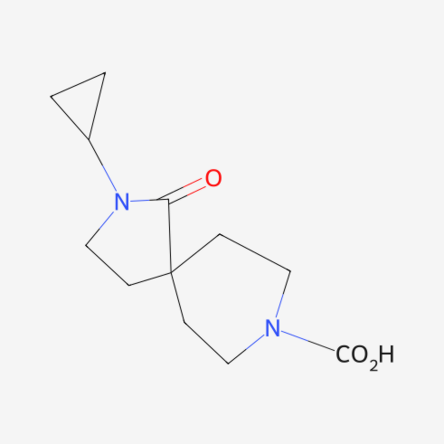 O=C(O)N1CCC2(CC1)CCN(C1CC1)C2=O